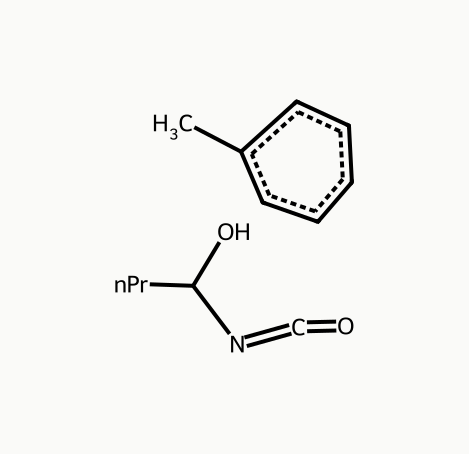 CCCC(O)N=C=O.Cc1ccccc1